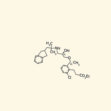 CCOC(=O)CCc1c(Cl)cccc1[C@@H](C)OC[C@H](O)CNC(C)(C)CC1Cc2ccccc2C1